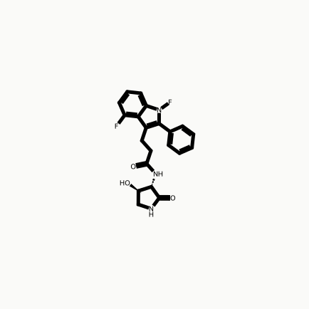 O=C(CCc1c(-c2ccccc2)n(F)c2cccc(F)c12)N[C@@H]1C(=O)NC[C@H]1O